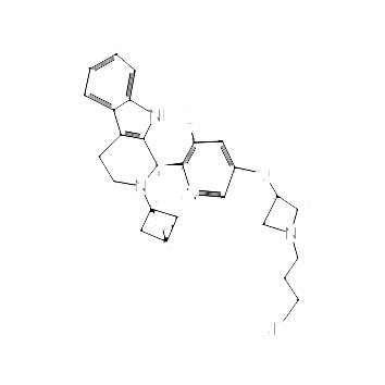 C[C@@H]1Cc2c([nH]c3ccccc23)[C@@H](c2ncc(OC3CN(CCCF)C3)cc2F)N1C12CC(C1)C2